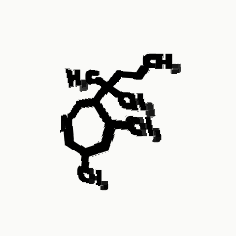 CCCC(C)(C)C1CN=CC(C)CC1C